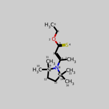 CCOC(=S)C=C(C)N1[Si](C)(C)CC[Si]1(C)C